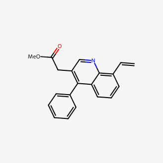 C=Cc1cccc2c(-c3ccccc3)c(CC(=O)OC)cnc12